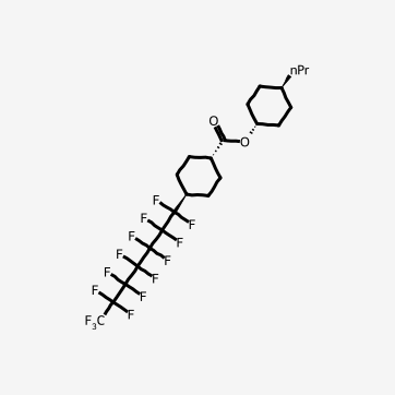 CCC[C@H]1CC[C@H](OC(=O)[C@H]2CC[C@H](C(F)(F)C(F)(F)C(F)(F)C(F)(F)C(F)(F)C(F)(F)C(F)(F)F)CC2)CC1